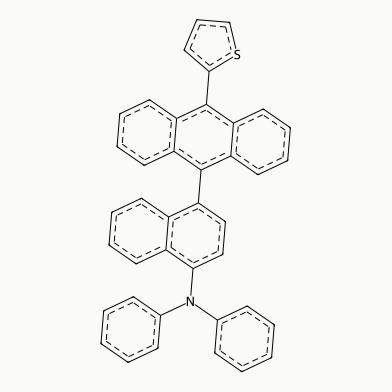 c1ccc(N(c2ccccc2)c2ccc(-c3c4ccccc4c(-c4cccs4)c4ccccc34)c3ccccc23)cc1